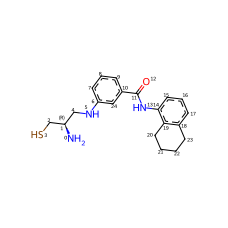 N[C@@H](CS)CNc1cccc(C(=O)Nc2cccc3c2CCCC3)c1